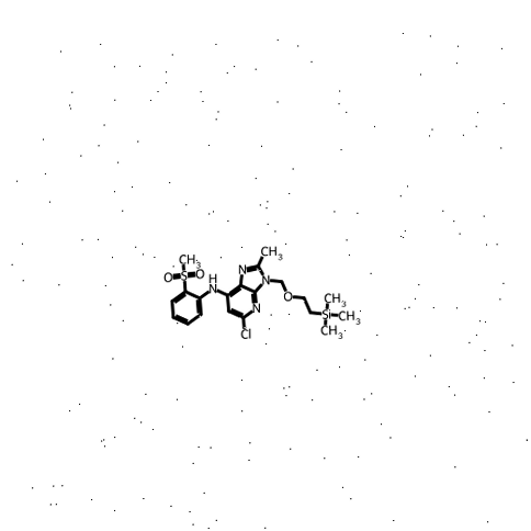 Cc1nc2c(Nc3ccccc3S(C)(=O)=O)cc(Cl)nc2n1COCC[Si](C)(C)C